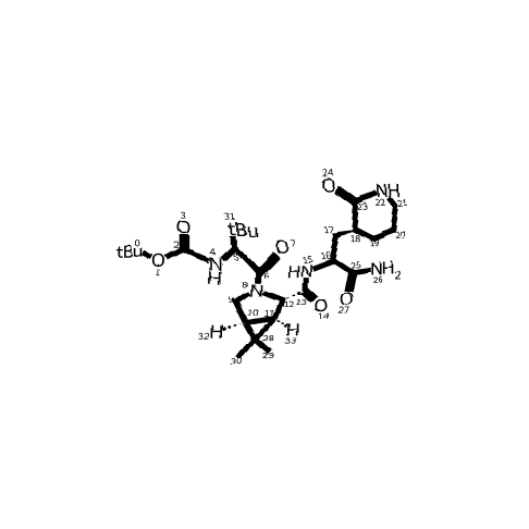 CC(C)(C)OC(=O)NC(C(=O)N1C[C@H]2[C@@H]([C@H]1C(=O)NC(C[C@@H]1CCCNC1=O)C(N)=O)C2(C)C)C(C)(C)C